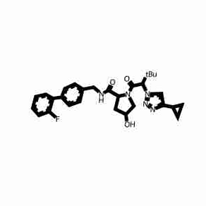 CC(C)(C)C(C(=O)N1CC(O)CC1C(=O)NCc1ccc(-c2ccccc2F)cc1)n1cc(C2CC2)nn1